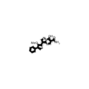 COc1c(-c2ccccc2)csc1-c1cnn2c(O)c(C(N)=O)cnc12